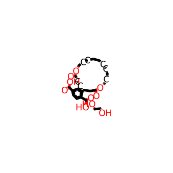 O=C(O)c1ccc(C(=O)O)cc1.O=C1CCCCC(=O)OCCCCCCCCCCO1.OCCO